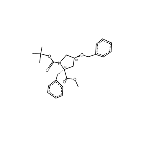 COC(=O)[C@]1(Cc2ccccc2)C[C@H](OCc2ccccc2)CN1C(=O)OC(C)(C)C